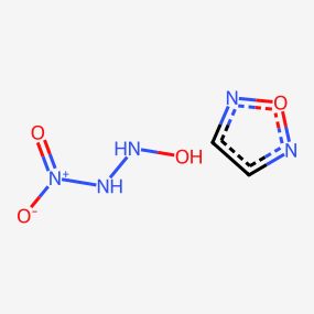 O=[N+]([O-])NNO.c1cnon1